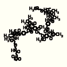 C=C1C[C@H]2CN(C(=O)OCc3ccc(NC(=O)[C@H](C)NC(=O)[C@@H](NC(=O)CCOCCOC)C(C)C)cc3)c3cc(OCCCOc4cc5c(cc4OC)C(=O)N4CC(C)(C)C[C@H]4[C@H](O)N5C(=O)OCc4ccc(NC(=O)[C@H](C)NC(=O)[C@@H](NC(=O)CCOCCNC(=O)CCN5C(=O)C=CC5=O)C(C)C)cc4)c(OC)cc3C(=O)N2C1